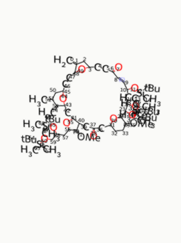 C=C1CC2CCC(=O)/C=C/C(O[Si](C)(C)C(C)(C)C)CC(O[Si](C)(C)C(C)(C)C)C(O[Si](C)(C)C(C)(C)C)C3OC(CC[C@@H]3OC)CC(=O)CC3C(CC4OC(CCC1O2)CC(C)C4=C)OC(CC(CO[Si](C)(C)C(C)(C)C)O[Si](C)(C)C(C)(C)C)[C@@H]3OC